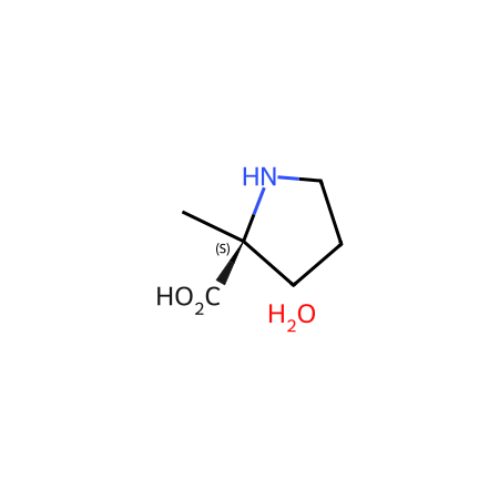 C[C@@]1(C(=O)O)CCCN1.O